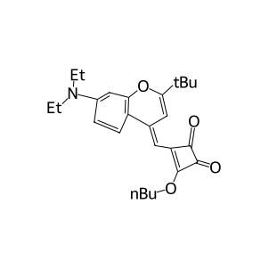 CCCCOc1c(C=C2C=C(C(C)(C)C)Oc3cc(N(CC)CC)ccc32)c(=O)c1=O